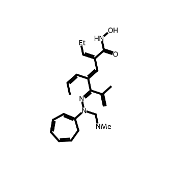 C=C(C)C(=N\N(CNC)C1=CC=CC=CC1)/C(/C=C\C)=C/C(=C/CC)C(=O)NO